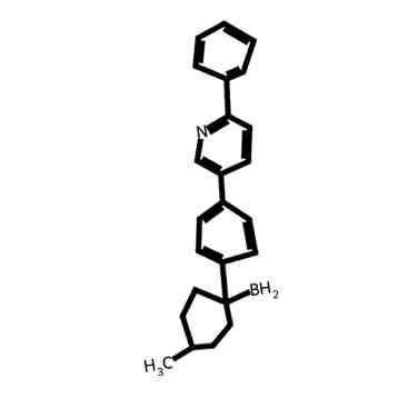 BC1(c2ccc(-c3ccc(-c4ccccc4)nc3)cc2)CCC(C)CC1